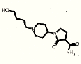 NC(=O)C1CCN(C2CCN(CCCCO)CC2)C1=O